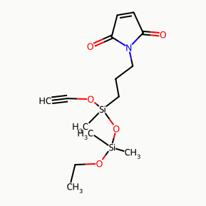 C#CO[Si](C)(CCCN1C(=O)C=CC1=O)O[Si](C)(C)OCC